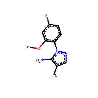 CC(C)Oc1cc(F)ccc1-n1ncc(C#N)c1N